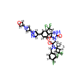 O=C1N[C@]2(CC(F)(F)c3cc(-c4cnn(C5CN(C6COC6)C5)c4)ccc32)C(=O)N1CC(=O)N(Cc1ccc(F)cc1)C1(C(F)(F)F)CC(F)(F)C1